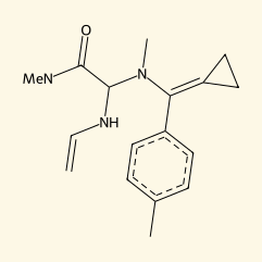 C=CNC(C(=O)NC)N(C)C(=C1CC1)c1ccc(C)cc1